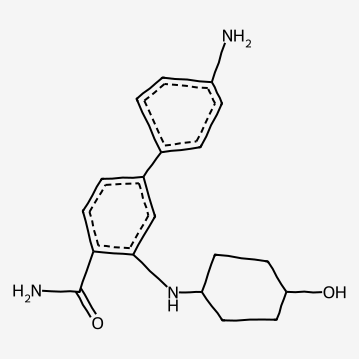 NC(=O)c1ccc(-c2ccc(N)cc2)cc1NC1CCC(O)CC1